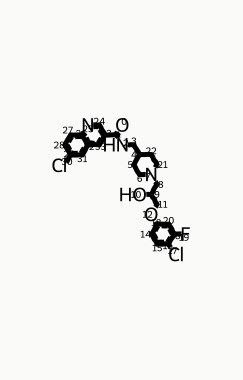 O=C(NCC1CCN(CC(O)COc2ccc(Cl)c(F)c2)CC1)c1cnc2ccc(Cl)cc2c1